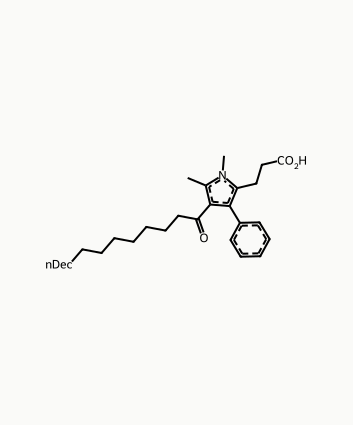 CCCCCCCCCCCCCCCCCC(=O)c1c(-c2ccccc2)c(CCC(=O)O)n(C)c1C